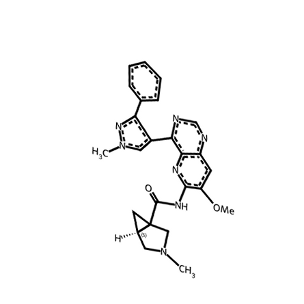 COc1cc2ncnc(-c3cn(C)nc3-c3ccccc3)c2nc1NC(=O)C12C[C@@H]1CN(C)C2